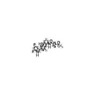 CCOC(=O)c1nc(C(=O)N[C@@H]2CCC[C@H](Nc3nc(-c4c[nH]c5c(F)cc(F)cc45)nc(C)c3F)C2)cs1